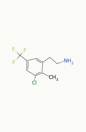 Cc1c(Cl)cc(C(F)(F)F)cc1CCN